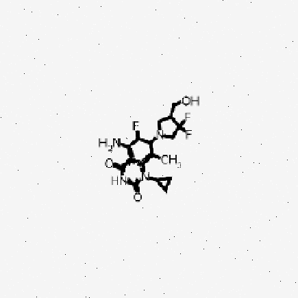 CC1=c2c(c(=O)[nH]c(=O)n2C2CC2)=C(N)C(F)C1N1CC(CO)C(F)(F)C1